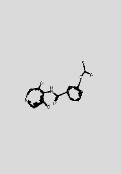 O=C(Nc1c(Cl)cncc1Cl)c1cccc(OC(F)F)c1